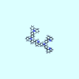 c1ccc(N(c2ccccc2)c2ccc3cc(N(c4ccccc4)c4cccc(-c5ccnc6c(-c7ccc(N(c8ccc(-c9cccc%10cccnc9%10)cc8)c8ccc(-c9cccc%10cccnc9%10)cc8)cc7)cccc56)c4)ccc3c2)cc1